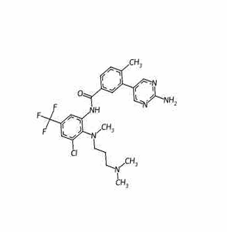 Cc1ccc(C(=O)Nc2cc(C(F)(F)F)cc(Cl)c2N(C)CCCN(C)C)cc1-c1cnc(N)nc1